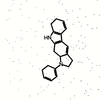 C1=CCCC(N2CCC3=Cc4c([nH]c5c4C=CCC5)CC32)=C1